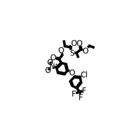 CCOC(=O)C(C)SC(=O)C(C)OCC(=O)c1cc(Oc2ccc(C(F)(F)F)cc2Cl)ccc1[N+](=O)[O-]